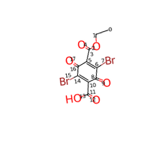 CCOC(=O)C1=C(Br)C(=O)C(C(=O)O)=C(Br)C1=O